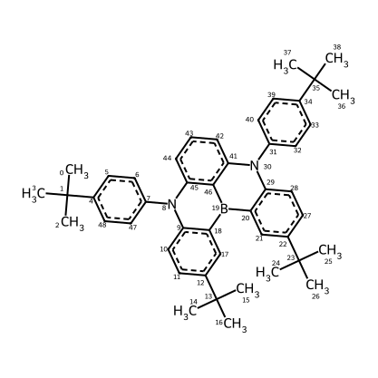 CC(C)(C)c1ccc(N2c3ccc(C(C)(C)C)cc3B3c4cc(C(C)(C)C)ccc4N(c4ccc(C(C)(C)C)cc4)c4cccc2c43)cc1